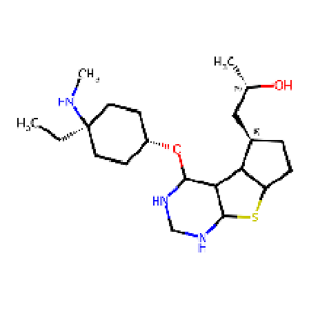 CC[C@]1(NC)CC[C@H](OC2NCNC3SC4CC[C@H](C[C@H](C)O)C4C23)CC1